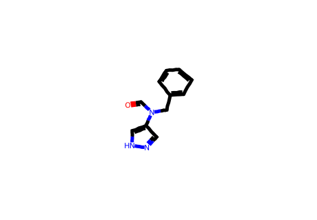 O=CN(Cc1ccccc1)c1cn[nH]c1